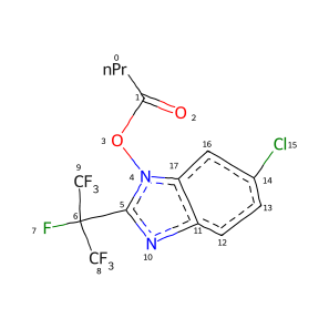 CCCC(=O)On1c(C(F)(C(F)(F)F)C(F)(F)F)nc2ccc(Cl)cc21